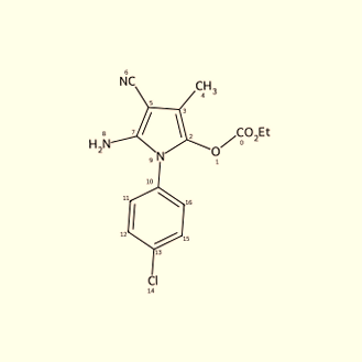 CCOC(=O)Oc1c(C)c(C#N)c(N)n1-c1ccc(Cl)cc1